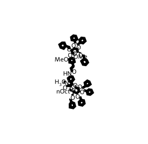 CCCCCCCCOc1c(O[C@@H]2O[C@H](COCc3ccccc3)[C@@H](OCc3ccccc3)[C@H](OCc3ccccc3)[C@H]2OCc2ccccc2)c2ccc(NC(=O)C=Cc3cc(OC)c(O[C@@H]4O[C@H](COCc5ccccc5)[C@@H](OCc5ccccc5)[C@H](OCc5ccccc5)[C@H]4OCc4ccccc4)c(OC)c3)cc2n(C)c1=O